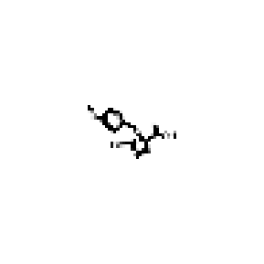 COc1ccc(Cn2c(C(=O)O)cnc2Br)cc1